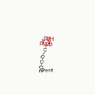 C=C(CO)C(=O)OCC(COC(=O)C(=C)CO)C1CCC(CCc2ccc(C3CCC(c4ccc(CCCCC)cc4)CC3)cc2)CC1